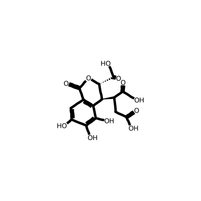 O=C(O)CC(C(=O)O)[C@H]1c2c(cc(O)c(O)c2O)C(=O)O[C@@H]1C(=O)O